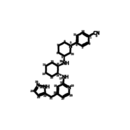 N#Cc1ccc(N2CCC[C@H](N[C@@H]3CCCC[C@H]3Nc3cc(Cc4ccn[nH]4)ccn3)C2)cc1